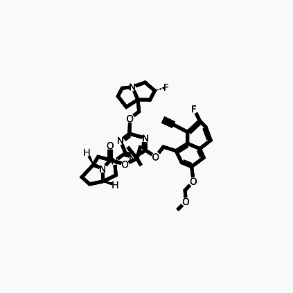 C#Cc1c(F)ccc2cc(OCOC)cc(COc3nc(OCC45CCCN4C[C@H](F)C5)nc(N4C[C@H]5CC[C@@H](C4)N5C(=O)OC(C)(C)C)n3)c12